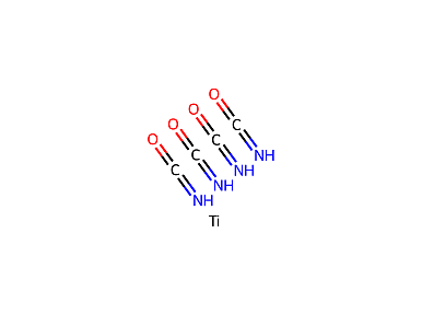 N=C=O.N=C=O.N=C=O.N=C=O.[Ti]